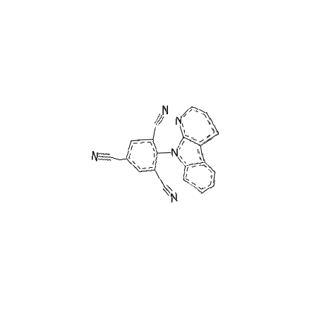 N#Cc1cc(C#N)c(-n2c3ccccc3c3cccnc32)c(C#N)c1